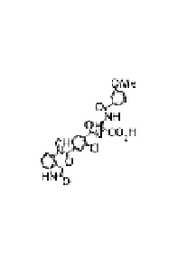 COc1cccc(C(=O)NC[C@H](NC(=O)c2ccc(C(=O)N(C)c3cccc4c3CC(=O)N4)cc2Cl)C(=O)O)c1